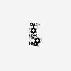 O=C(O)c1ccc(S(=O)(=O)Nc2cccc3cc[nH]c23)cc1